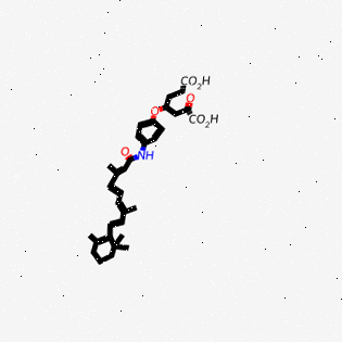 CC(C=CC1=C(C)CCCC1(C)C)=CC=CC(C)=CC(=O)Nc1ccc(OC(CCC(=O)O)CC(=O)C(=O)O)cc1